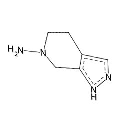 NN1CCc2cn[nH]c2C1